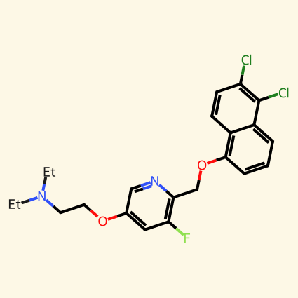 CCN(CC)CCOc1cnc(COc2cccc3c(Cl)c(Cl)ccc23)c(F)c1